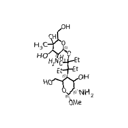 CCC(C)(O[C@@H]1OC(CO)C(C)(C)C(O)[C@@H]1N)C(CC)(CC)[C@@H]1C(CO)O[C@@H](OC)[C@@H](N)C1O